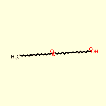 CCCCCCC=CCCCCCCCCCCCC(=O)OCCCCCCCCCCCCCCCCCCCCC(=O)O